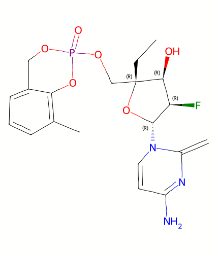 C=C1N=C(N)C=CN1[C@@H]1O[C@](CC)(COP2(=O)OCc3cccc(C)c3O2)[C@@H](O)[C@H]1F